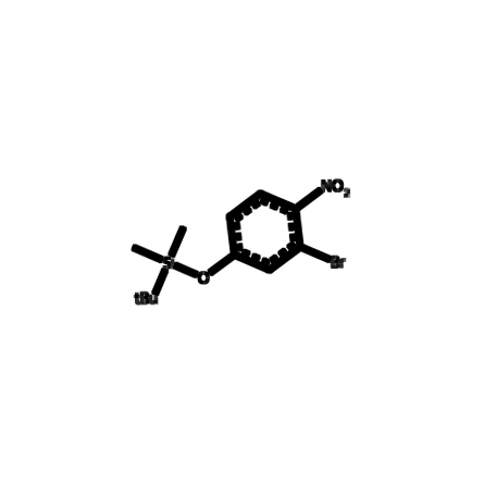 CC(C)(C)[Si](C)(C)Oc1ccc([N+](=O)[O-])c(Br)c1